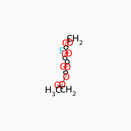 C=CC(=O)Oc1ccc(C(=O)Oc2ccc3cc(OC(=O)c4ccc(OCCCOC(=O)C(=C)C)cc4)ccc3c2)c(F)c1